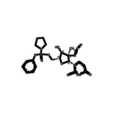 C[C@@]1(N=[N+]=[N-])[C@H](O)[C@@H](COP(=O)(Oc2ccccc2)N2CCCC2)O[C@H]1n1ccc(=O)[nH]c1=O